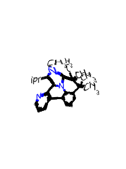 CC(C)C1=C2c3ncccc3-c3cccc4c3N2C(N1C)C(C)(C)C4(C)C